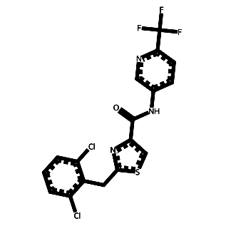 O=C(Nc1ccc(C(F)(F)F)nc1)c1csc(Cc2c(Cl)cccc2Cl)n1